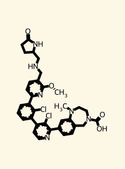 COc1nc(-c2cccc(-c3ccnc(-c4ccc5c(c4)N(C)CCN(C(=O)O)C5)c3Cl)c2Cl)ccc1CNCC1CCC(=O)N1